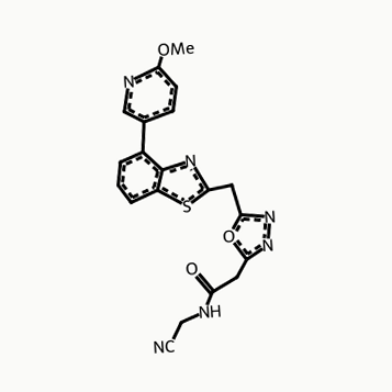 COc1ccc(-c2cccc3sc(Cc4nnc(CC(=O)NCC#N)o4)nc23)cn1